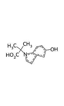 CC(C)(C(=O)O)n1ccc2cc(O)ccc21